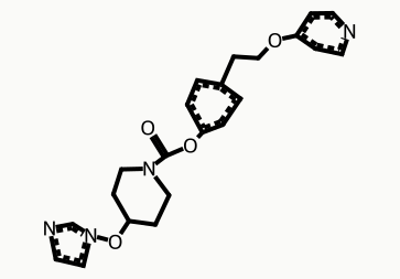 O=C(Oc1ccc(CCOc2ccncc2)cc1)N1CCC(On2ccnc2)CC1